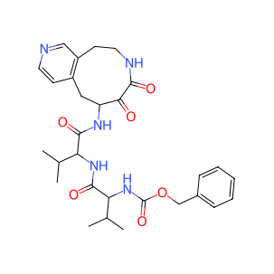 CC(C)C(NC(=O)OCc1ccccc1)C(=O)NC(C(=O)NC1Cc2ccncc2CCNC(=O)C1=O)C(C)C